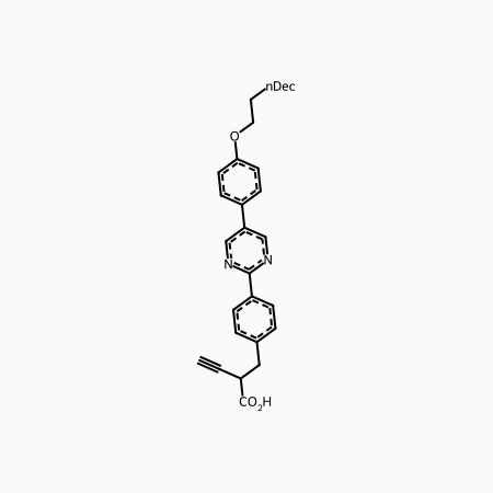 C#CC(Cc1ccc(-c2ncc(-c3ccc(OCCCCCCCCCCCC)cc3)cn2)cc1)C(=O)O